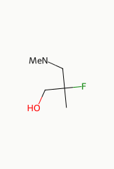 CNCC(C)(F)CO